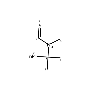 CCCC(C)(C)N(C)[C]=S